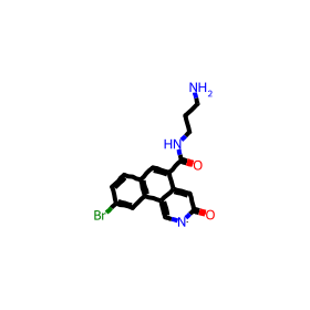 NCCCNC(=O)c1cc2ccc(Br)cc2c2c1=CC(=O)[N]C=2